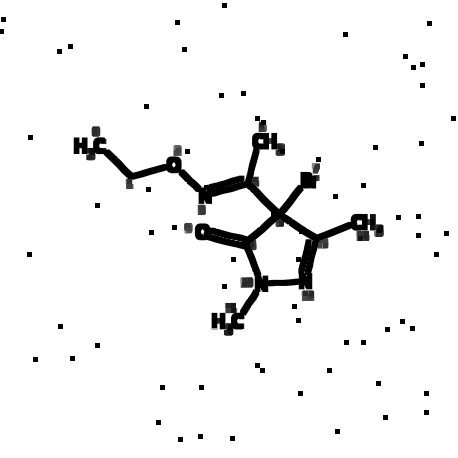 CCON=C(C)C1(Br)C(=O)N(C)N=C1C